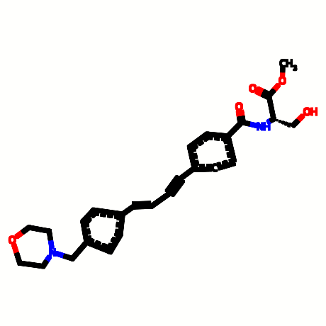 COC(=O)[C@H](CO)NC(=O)c1ccc(C#CC=Cc2ccc(CN3CCOCC3)cc2)cc1